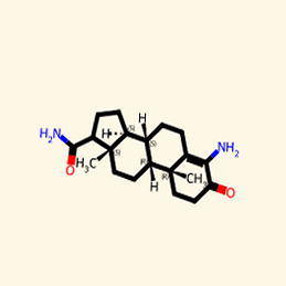 C[C@]12CCC(=O)C(N)=C1CC[C@@H]1[C@H]2CC[C@]2(C)C(C(N)=O)CC[C@@H]12